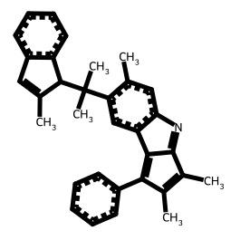 CC1=Cc2ccccc2C1C(C)(C)c1cc2c(cc1C)N=C1C(C)=C(C)C(c3ccccc3)=C12